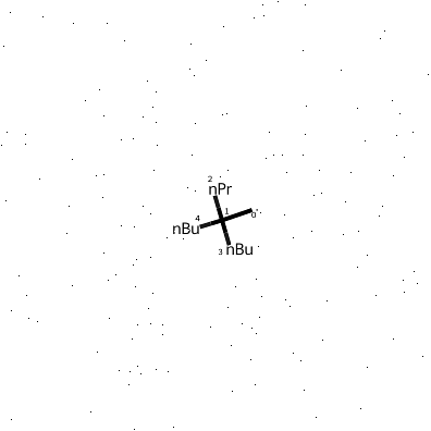 [CH2]C(CCC)(CCCC)CCCC